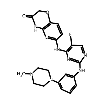 CN1CCN(c2cccc(Nc3ncc(F)c(Nc4ccc5c(n4)NC(=O)CO5)n3)c2)CC1